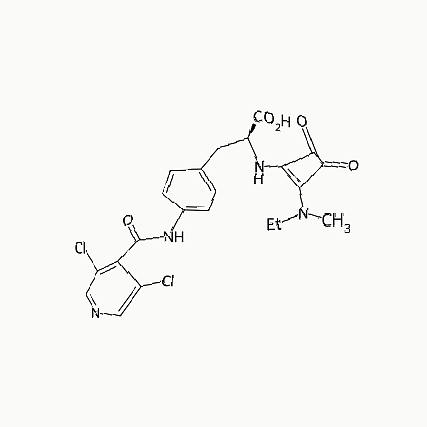 CCN(C)c1c(N[C@@H](Cc2ccc(NC(=O)c3c(Cl)cncc3Cl)cc2)C(=O)O)c(=O)c1=O